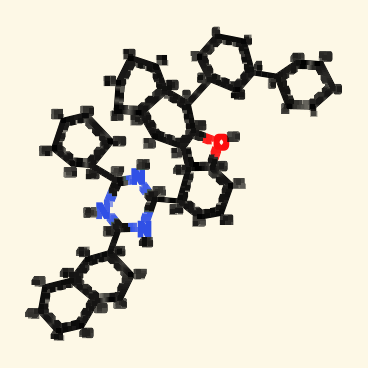 c1ccc(-c2cccc(-c3c4ccccc4cc4c3oc3cccc(-c5nc(-c6ccccc6)nc(-c6ccc7ccccc7c6)n5)c34)c2)cc1